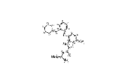 CNC(N)=NC(=O)c1cc2c(C(F)(F)F)ccc(Oc3ccccc3CN3CCCCC3)c2[nH]1